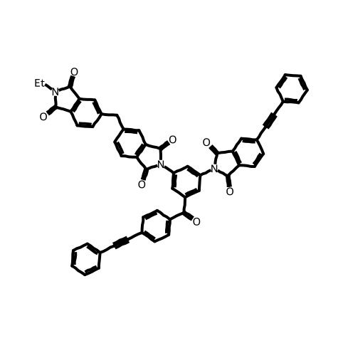 CCN1C(=O)c2ccc(Cc3ccc4c(c3)C(=O)N(c3cc(C(=O)c5ccc(C#Cc6ccccc6)cc5)cc(N5C(=O)c6ccc(C#Cc7ccccc7)cc6C5=O)c3)C4=O)cc2C1=O